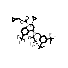 COC(=O)N(Cc1cc(C(F)(F)F)cc(C(F)(F)F)c1)[C@@H]1C[C@H](C2CC2)N(C(=O)OCC2CC2)c2ccc(C(F)(F)F)cc21